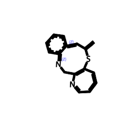 C=C1/C=c2/cccc/c2=N/CC2=C(C=C=CC=N2)S1